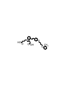 Cc1ccccc1OCCCCOc1ccc(/C=C/c2cccc3c2c(CC(=O)O)cn3CCCC(=O)O)cc1